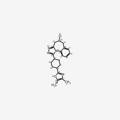 Cc1nc(C2CCC(c3nnc4n3-c3ccccc3CN(Cl)C4)CC2)oc1C